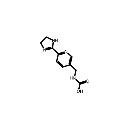 O=C(O)NCc1ccc(C2=NCCN2)nc1